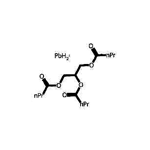 CCCC(=O)OCC(COC(=O)CCC)OC(=O)CCC.[PbH2]